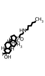 CCCCCCNCCC(=O)[C@H]1CC[C@H]2[C@@H]3CC[C@@H]4C[C@@](O)(I)CC[C@@H]4[C@H]3CC[C@]12C